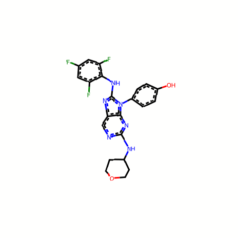 Oc1ccc(-n2c(Nc3c(F)cc(F)cc3F)nc3cnc(NC4CCOCC4)nc32)cc1